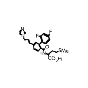 CSCC[C@H](NC(=O)c1ccc(C=CCn2ccnc2)cc1-c1ccc(F)cc1F)C(=O)O